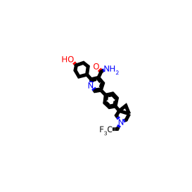 NC(=O)c1cc(-c2ccc(C34CC3CN(CC(F)(F)F)C4)cc2)cnc1C1CCC(O)CC1